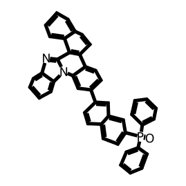 O=P(c1ccccc1)(c1ccccc1)c1ccc2ccc(-c3ccc4c5ccc6ccccc6c5c5nc6ccccc6n5c4c3)cc2c1